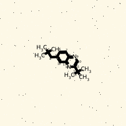 CC(C)(C)Cc1ccc2ncc(C(C)(C)C)nc2c1